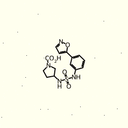 O=C(O)N1CCC(NS(=O)(=O)Nc2cccc(-c3ccno3)c2)C1